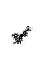 CCNC(=O)Nc1cc(Nc2ccc(F)c(F)c2F)c(C(=O)Nc2ccc(CCC(=O)O)cc2)cn1